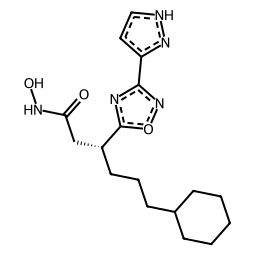 O=C(C[C@@H](CCCC1CCCCC1)c1nc(-c2cc[nH]n2)no1)NO